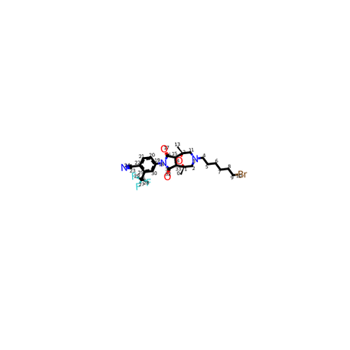 C[C@]12CN(CCCCCCBr)C[C@](C)(O1)C1C(=O)N(c3ccc(C#N)c(C(F)(F)F)c3)C(=O)C12